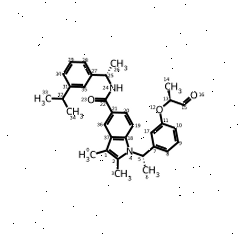 Cc1c(C)n([C@@H](C)c2cccc(O[C@@H](C)C=O)c2)c2ccc(C(=O)N[C@@H](C)c3cccc(C(C)C)c3)cc12